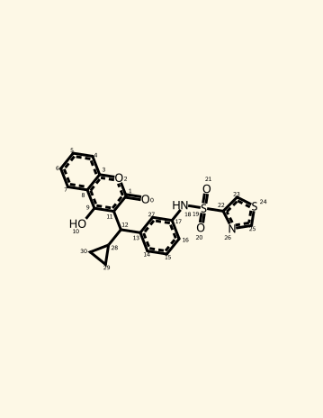 O=c1oc2ccccc2c(O)c1C(c1cccc(NS(=O)(=O)c2cscn2)c1)C1CC1